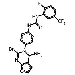 NC1c2ccoc2N=C(Br)N1c1ccc(NC(=O)Nc2cc(C(F)(F)F)ccc2F)cc1